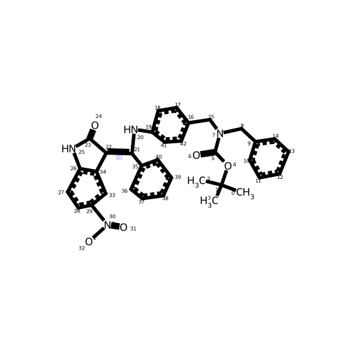 CC(C)(C)OC(=O)N(Cc1ccccc1)Cc1ccc(N/C(=C2\C(=O)Nc3ccc([N+](=O)[O-])cc32)c2ccccc2)cc1